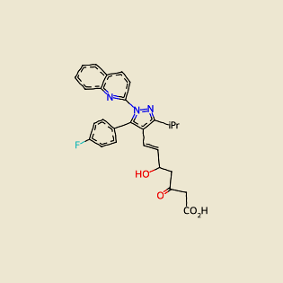 CC(C)c1nn(-c2ccc3ccccc3n2)c(-c2ccc(F)cc2)c1/C=C/C(O)CC(=O)CC(=O)O